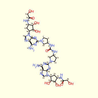 Nc1nc(N2CCC(NC(=O)NC3CCN(c4nc(N)c5ncn(C6CC(NC(=O)CO)C(O)C6O)c5n4)C3)C2)nc2c1ncn2C1CC(NC(=O)CO)C(O)C1O